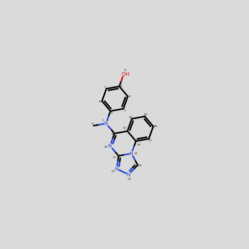 CN(c1ccc(O)cc1)c1nc2nncn2c2ccccc12